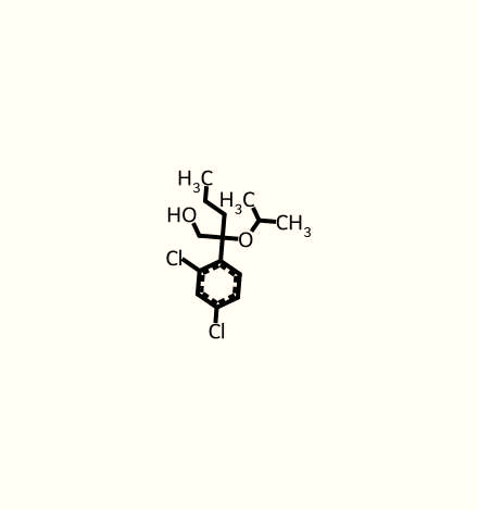 CCCC(CO)(OC(C)C)c1ccc(Cl)cc1Cl